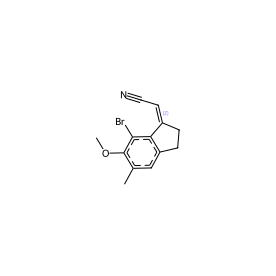 COc1c(C)cc2c(c1Br)/C(=C\C#N)CC2